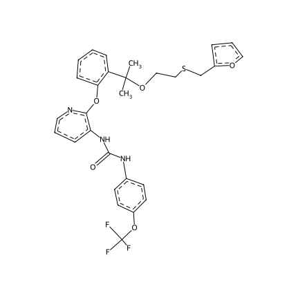 CC(C)(OCCSCc1ccco1)c1ccccc1Oc1ncccc1NC(=O)Nc1ccc(OC(F)(F)F)cc1